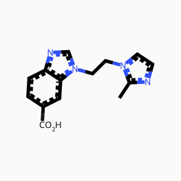 Cc1nccn1CCn1cnc2ccc(C(=O)O)cc21